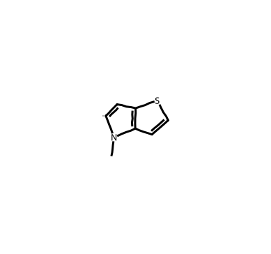 Cn1[c]cc2sccc21